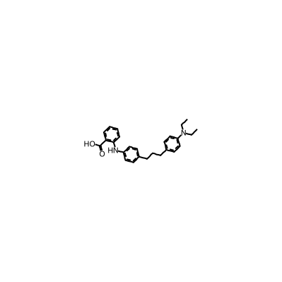 CCN(CC)c1ccc(CCCc2ccc(Nc3ccccc3C(=O)O)cc2)cc1